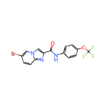 O=C(Nc1ccc(OC(F)(F)F)cc1)c1cn2cc(Br)ccc2n1